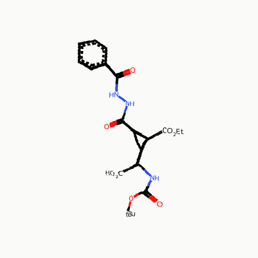 CCOC(=O)C1C(C(=O)NNC(=O)c2ccccc2)C1C(NC(=O)OC(C)(C)C)C(=O)O